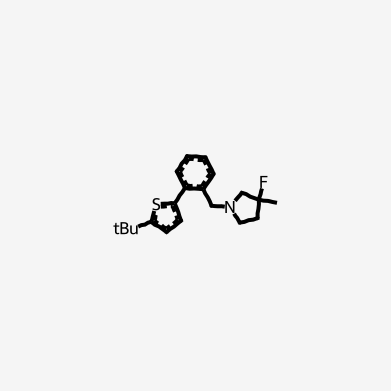 CC1(F)CCN(Cc2ccccc2-c2ccc(C(C)(C)C)s2)C1